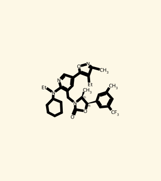 CCc1c(C)noc1-c1cnc(N(CC)C2CCCCC2)c(CN2C(=O)O[C@H](c3cc(C)cc(C(F)(F)F)c3)[C@@H]2C)c1